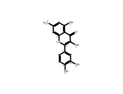 Cc1cc(O)c2c(=O)c(O)c(-c3ccc(O)c(O)c3)oc2c1